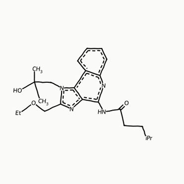 CCOCc1nc2c(NC(=O)CCC(C)C)nc3ccccc3c2n1CC(C)(C)O